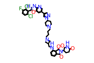 C[C@@H](Oc1cc(-c2cnn(C3CCN(CCCCN4CC(CNc5cccc6c5C(=O)N(C5CCC(=O)NC5=O)C6=O)C4)CC3)c2)cnc1N)c1c(Cl)ccc(F)c1Cl